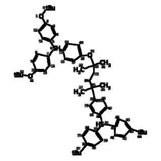 CC(C)(C)Oc1ccc([SH](c2ccc(OC(C)(C)C)cc2)c2ccc(OC(C)(C)CCC(C)(C)c3ccc([SH](c4ccc(C(C)(C)C)cc4)c4ccc(C(C)(C)C)cc4)cc3)cc2)cc1